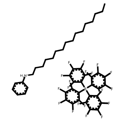 CCCCCCCCCCCCCCCC[NH2+]c1ccccc1.Fc1c(F)c(F)c([B-](c2c(F)c(F)c(F)c(F)c2F)(c2c(F)c(F)c(F)c(F)c2F)c2c(F)c(F)c(F)c(F)c2F)c(F)c1F